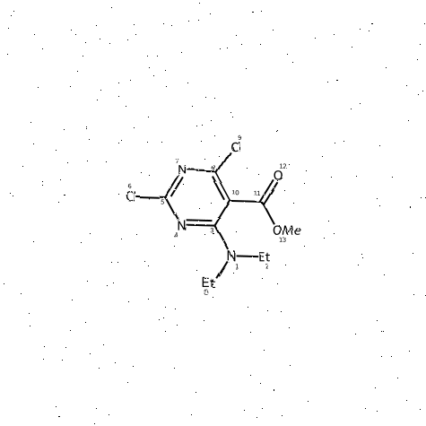 CCN(CC)c1nc(Cl)nc(Cl)c1C(=O)OC